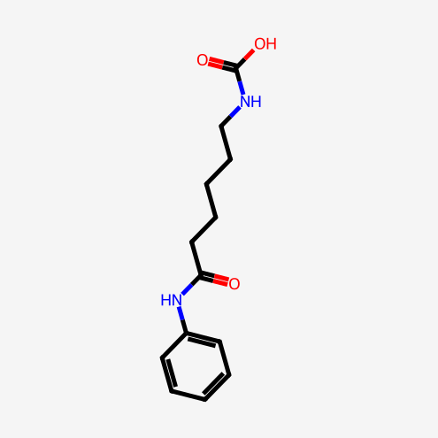 O=C(O)NCCCCCC(=O)Nc1ccccc1